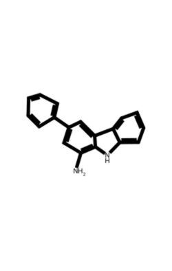 Nc1cc(-c2ccccc2)cc2c1[nH]c1ccccc12